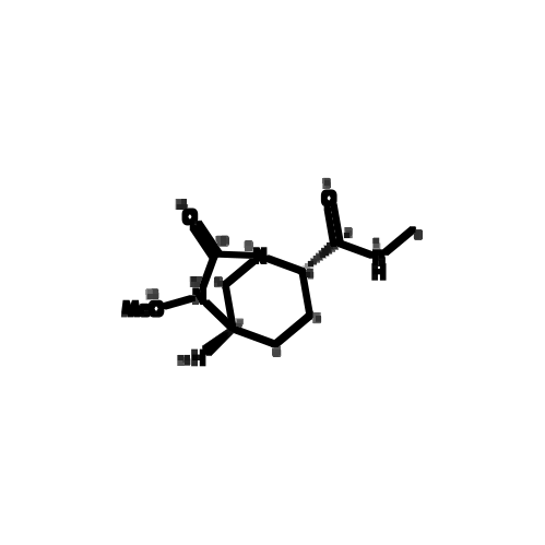 CBC(=O)[C@@H]1CC[C@H]2CN1C(=O)N2OC